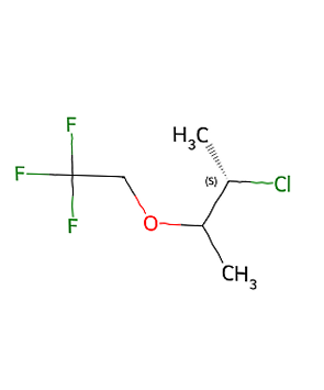 CC(OCC(F)(F)F)[C@H](C)Cl